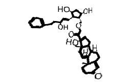 C[C@]12CCC(=O)C=C1CC[C@@H]1C2=CC[C@@]2(C)[C@H]1CC[C@]2(O)C(=O)COC[C@@H]1[C@@H](/C=C/[C@@H](O)CCc2ccccc2)[C@H](O)C[C@@H]1O